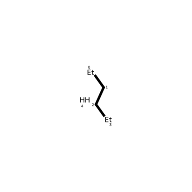 [C]CCCCC.[HH]